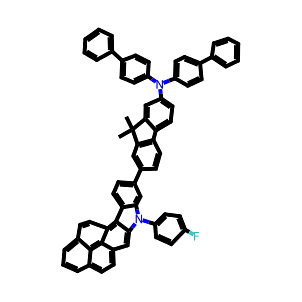 CC1(C)c2cc(-c3ccc4c5c6ccc7cccc8ccc(cc5n(-c5ccc(F)cc5)c4c3)c6c87)ccc2-c2ccc(N(c3ccc(-c4ccccc4)cc3)c3ccc(-c4ccccc4)cc3)cc21